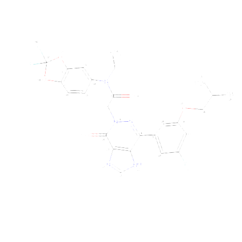 CCN(C(=O)Cn1nc(-c2cc(F)cc(OCC(C)C)c2)c2[nH]cnc2c1=O)c1ccc2c(c1)OC(F)(F)O2